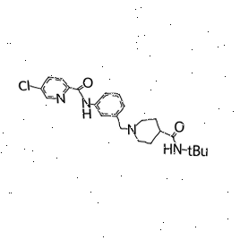 CC(C)(C)NC(=O)C1CCN(Cc2cccc(NC(=O)c3ccc(Cl)cn3)c2)CC1